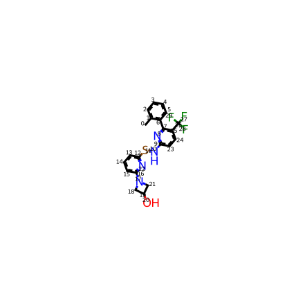 Cc1ccccc1-c1nc(NSc2cccc(N3CC(O)C3)n2)ccc1C(F)(F)F